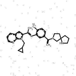 C=C(c1ccc(C)c(/N=C(\C)c2cc3cccnc3n2CC2CC2)c1)N1CCC2(CCCN2)C1